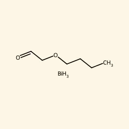 CCCCOCC=O.[BiH3]